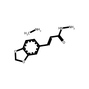 CN.NNC(=O)/C=C/c1ccc2c(c1)OCO2